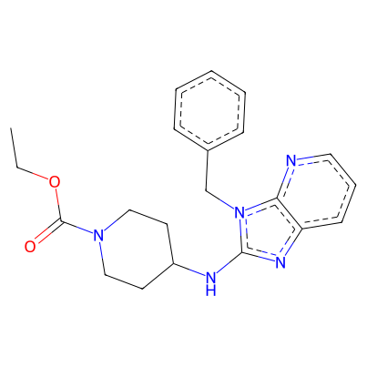 CCOC(=O)N1CCC(Nc2nc3cccnc3n2Cc2ccccc2)CC1